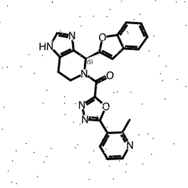 Cc1ncccc1-c1nnc(C(=O)N2CCc3[nH]cnc3[C@H]2c2cc3ccccc3o2)o1